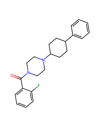 O=C(c1ccccc1F)N1CCN(C2CCC(c3ccccc3)CC2)CC1